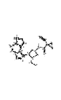 CC[C@@H]1C[C@H](NC(=O)C2(C#N)CC2)C[C@@H]1c1nnc2cnc3[nH]ccc3n12